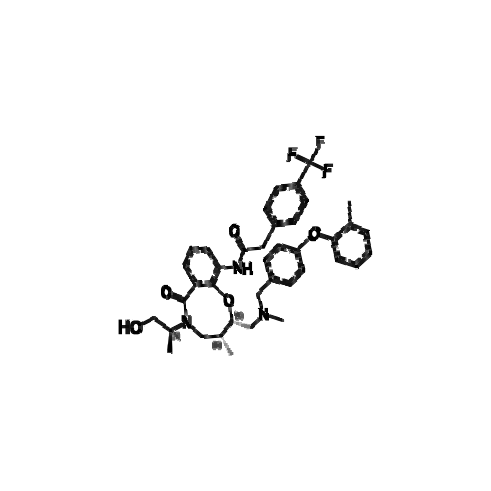 Cc1ccccc1Oc1ccc(CN(C)C[C@H]2Oc3c(NC(=O)Cc4ccc(C(F)(F)F)cc4)cccc3C(=O)N([C@@H](C)CO)C[C@H]2C)cc1